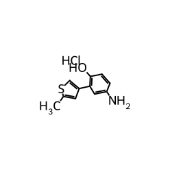 Cc1cc(-c2cc(N)ccc2O)cs1.Cl